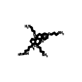 CCCNCCC[C@@H](I)[C@H]1CC[C@@]2(N)C3[C@@H](C[C@H](OCCCN)[C@]12C)C1(C)CC[C@@H](OCCCN)CC1C[C@H]3OCCCN